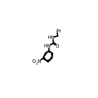 CC(C)CNC(=O)Nc1cccc([N+](=O)[O-])c1